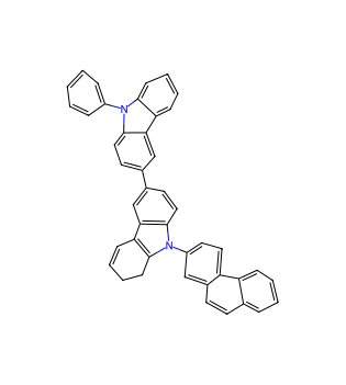 C1=Cc2c(n(-c3ccc4c(ccc5ccccc54)c3)c3ccc(-c4ccc5c(c4)c4ccccc4n5-c4ccccc4)cc23)CC1